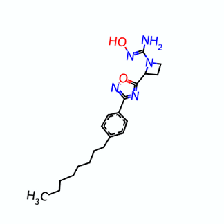 CCCCCCCCc1ccc(-c2noc(C3CCN3C(N)=NO)n2)cc1